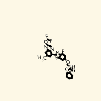 Cc1cc(-c2nc3c(F)cc(OCNS(=O)(=O)c4ccccc4)cc3s2)c2ncc(OC(F)F)nc2c1